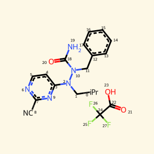 CC(C)CN(c1ccnc(C#N)n1)N(Cc1ccccc1)C(N)=O.O=C(O)C(F)(F)F